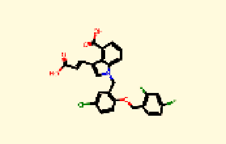 O=C(O)C=Cc1cn(Cc2cc(Cl)ccc2OCc2ccc(F)cc2F)c2cccc(C(=O)O)c12